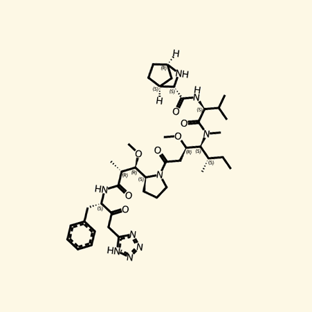 CC[C@H](C)[C@@H]([C@@H](CC(=O)N1CCC[C@H]1[C@H](OC)[C@@H](C)C(=O)N[C@@H](Cc1ccccc1)C(=O)Cc1nnn[nH]1)OC)N(C)C(=O)[C@@H](NC(=O)[C@H]1N[C@@H]2CC[C@H]1C2)C(C)C